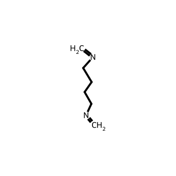 C=NCCCCN=C